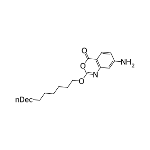 CCCCCCCCCCCCCCCCOc1nc2cc(N)ccc2c(=O)o1